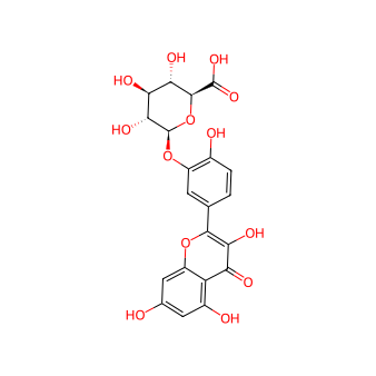 O=C(O)[C@H]1O[C@@H](Oc2cc(-c3oc4cc(O)cc(O)c4c(=O)c3O)ccc2O)[C@H](O)[C@@H](O)[C@@H]1O